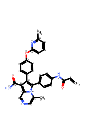 C=CC(=O)Nc1ccc(-c2c(-c3ccc(Oc4cccc(C)n4)cc3)c(C(N)=O)c3cncc(C)n23)cc1